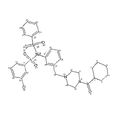 O=C(C1CCCCC1)N1CCN(Cc2cccc(N(S(=O)(=O)c3ccccc3)S(=O)(=O)c3cccc(Cl)c3)c2)CC1